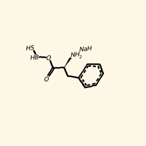 N[C@@H](Cc1ccccc1)C(=O)OBS.[NaH]